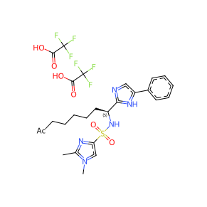 CC(=O)CCCCC[C@H](NS(=O)(=O)c1cn(C)c(C)n1)c1ncc(-c2ccccc2)[nH]1.O=C(O)C(F)(F)F.O=C(O)C(F)(F)F